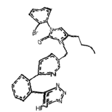 CCCCc1cn(-c2ccccc2Br)c(=O)n1Cc1ccc(-c2ccccc2-c2nnn[nH]2)nc1